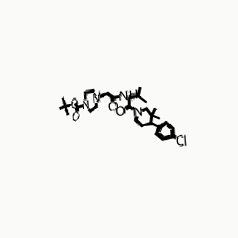 CC(C)[C@@H](NC(=O)CN1CCN(C(=O)OC(C)(C)C)CC1)C(=O)N1CCC(c2ccc(Cl)cc2)C(C)(C)C1